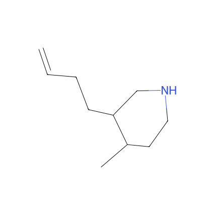 C=CCCC1CNCCC1C